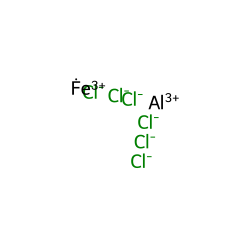 [Al+3].[Cl-].[Cl-].[Cl-].[Cl-].[Cl-].[Cl-].[Fe+3]